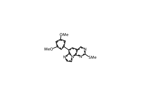 COc1cc(OC)cc(-c2cc3cnc(SC)nc3n3ccnc23)c1